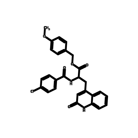 COc1ccc(COC(=O)C(Cc2cc(=O)[nH]c3ccccc23)NC(=O)c2ccc(Cl)cc2)cc1